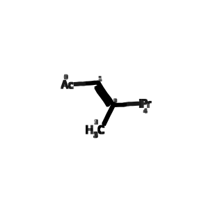 CC(=O)C=C(C)C(C)C